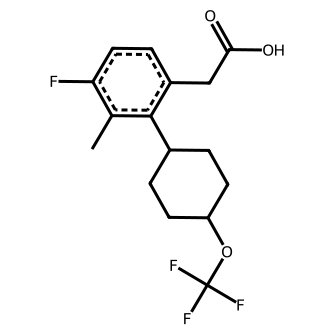 Cc1c(F)ccc(CC(=O)O)c1C1CCC(OC(F)(F)F)CC1